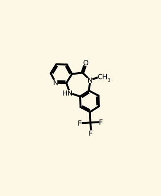 CN1C(=O)c2cccnc2Nc2cc(C(F)(F)F)ccc21